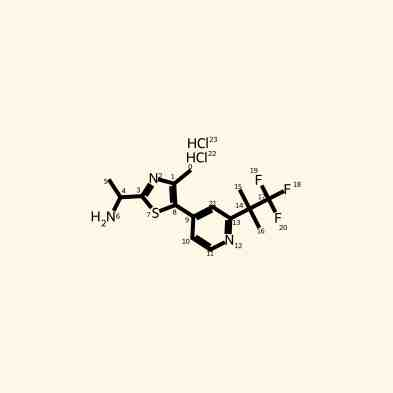 Cc1nc(C(C)N)sc1-c1ccnc(C(C)(C)C(F)(F)F)c1.Cl.Cl